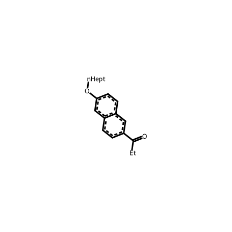 CCCCCCCOc1ccc2cc(C(=O)CC)ccc2c1